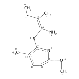 CC/C(C)=C(/N)Sc1nc(OC)ccc1C